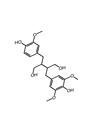 COc1cc(CC(CO)C(CO)Cc2cc(OC)c(O)c(OC)c2)ccc1O